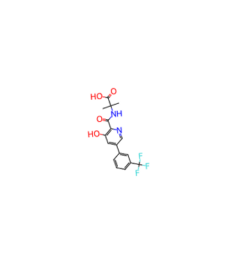 CC(C)(NC(=O)c1ncc(-c2cccc(C(F)(F)F)c2)cc1O)C(=O)O